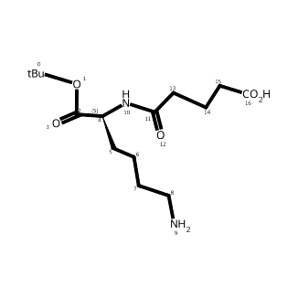 CC(C)(C)OC(=O)[C@H](CCCCN)NC(=O)CCCC(=O)O